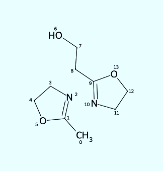 CC1=NCCO1.OCCC1=NCCO1